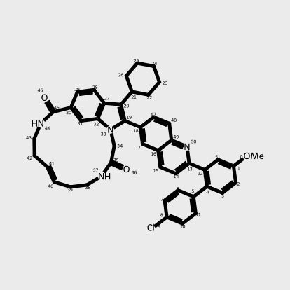 COc1ccc(-c2ccc(Cl)cc2)c(-c2ccc3cc(-c4c(C5CCCCC5)c5ccc6cc5n4CC(=O)NCC/C=C/CCNC6=O)ccc3n2)c1